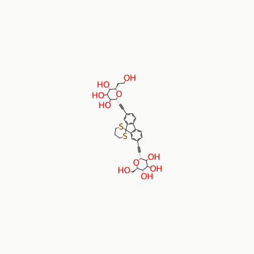 OCC[C@H]1O[C@H](C#Cc2ccc3c(c2)C2(SCCCS2)c2cc(C#C[C@H]4O[C@H](CO)[C@@H](O)[C@H](O)[C@@H]4O)ccc2-3)[C@@H](O)[C@@H](O)[C@@H]1O